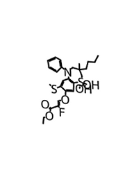 CCCCC1(C)CN(c2ccccc2)c2cc(SC)c(O/C=C(\F)C(=O)OCC)cc2S(O)(O)C1